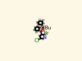 CC(C)(C)[Si](OCc1cc(Cl)cnc1Br)(c1ccccc1)c1ccccc1